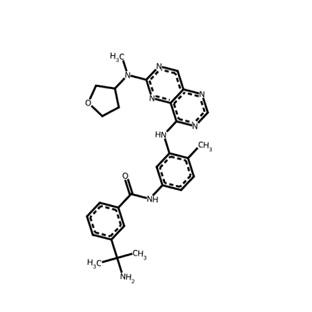 Cc1ccc(NC(=O)c2cccc(C(C)(C)N)c2)cc1Nc1ncnc2cnc(N(C)C3CCOC3)nc12